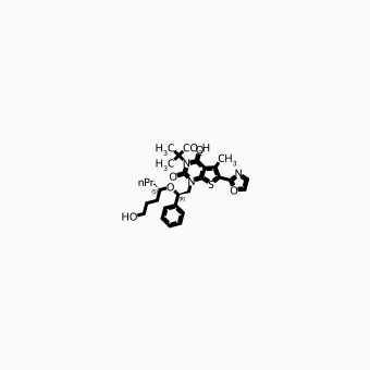 CCC[C@@H](CCCO)O[C@@H](Cn1c(=O)n(C(C)(C)C(=O)O)c(=O)c2c(C)c(-c3ncco3)sc21)c1ccccc1